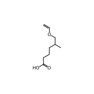 C=COCC(C)CCCC(=O)O